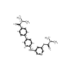 CN(C)C(=O)Cc1cncc(Nc2ccc(-c3ccc(C(=O)N(C)C)cc3)cn2)c1